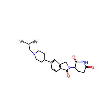 CCCC(CCC)CN1CCC(c2ccc3c(c2)CN(C2CCC(=O)NC2=O)C3=O)CC1